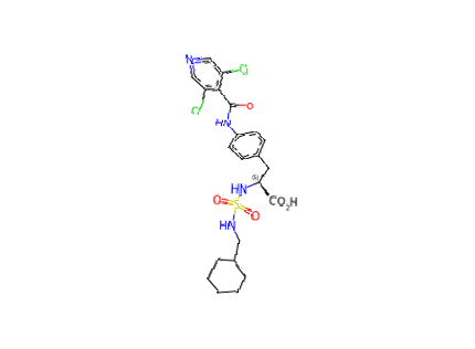 O=C(Nc1ccc(C[C@H](NS(=O)(=O)NCC2CCCCC2)C(=O)O)cc1)c1c(Cl)cncc1Cl